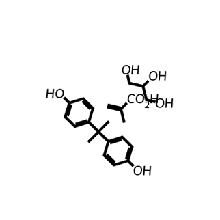 C=C(C)C(=O)O.CC(C)(c1ccc(O)cc1)c1ccc(O)cc1.OCC(O)CO